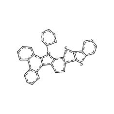 c1ccc(-n2c3c(ccc4c5sc6ccccc6c5sc43)c3c4ccccc4c4ccccc4c32)cc1